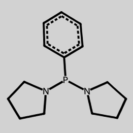 c1ccc(P(N2CCCC2)N2CCCC2)cc1